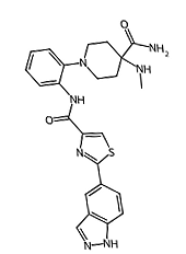 CNC1(C(N)=O)CCN(c2ccccc2NC(=O)c2csc(-c3ccc4[nH]ncc4c3)n2)CC1